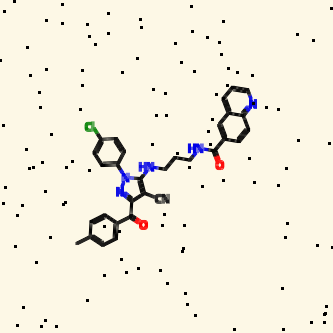 Cc1ccc(C(=O)c2nn(-c3ccc(Cl)cc3)c(NCCCNC(=O)c3ccc4ncccc4c3)c2C#N)cc1